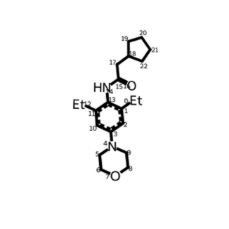 CCc1cc(N2CCOCC2)cc(CC)c1NC(=O)CC1CCCC1